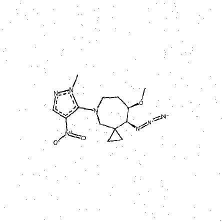 CO[C@@H]1CCN(c2c([N+](=O)[O-])cnn2C)CC2(CC2)[C@@H]1N=[N+]=[N-]